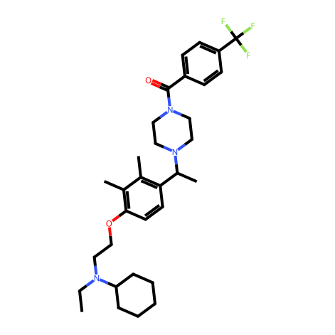 CCN(CCOc1ccc(C(C)N2CCN(C(=O)c3ccc(C(F)(F)F)cc3)CC2)c(C)c1C)C1CCCCC1